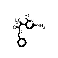 C=C(C(=O)OCc1ccccc1)c1ccc(N)nc1C